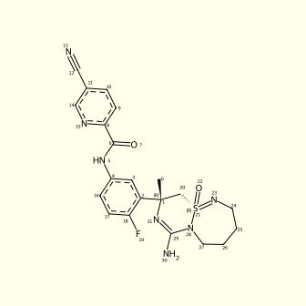 C[C@@]1(c2cc(NC(=O)c3ccc(C#N)cn3)ccc2F)C[S@]2(=O)=NCCCCN2C(N)=N1